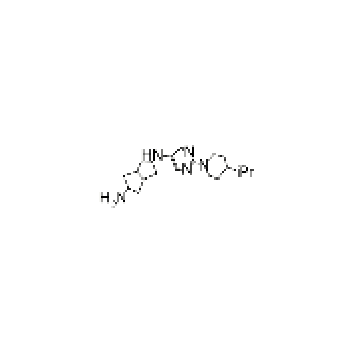 CC(C)C1CCN(c2ncc(NC3CC4CC(N)CC4C3)cn2)CC1